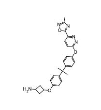 Cc1noc(-c2ccc(Oc3ccc(C(C)(C)c4ccc(OC5CC(N)C5)cc4)cc3)nn2)n1